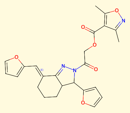 Cc1noc(C)c1C(=O)OCC(=O)N1N=C2/C(=C/c3ccco3)CCCC2C1c1ccco1